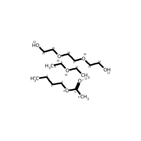 CCCCOC(C)=O.CCOCC.OCCOCCOCCO